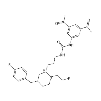 CC(=O)c1cc(NC(=O)NCCC[C@H]2CC(Cc3ccc(F)cc3)CCN2CCF)cc(C(C)=O)c1